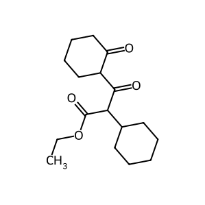 CCOC(=O)C(C(=O)C1CCCCC1=O)C1CCCCC1